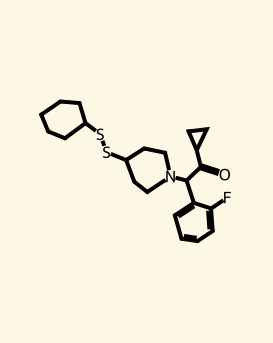 O=C(C1CC1)C(c1ccccc1F)N1CCC(SSC2CCCCC2)CC1